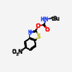 CC(C)(C)NC(=O)Oc1nc2cc([N+](=O)[O-])ccc2s1